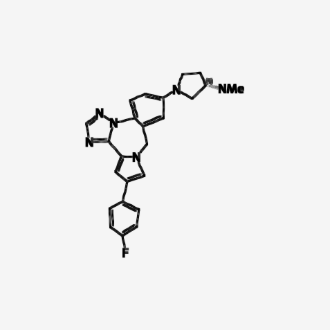 CN[C@H]1CCN(c2ccc3c(c2)Cn2cc(-c4ccc(F)cc4)cc2-c2ncnn2-3)C1